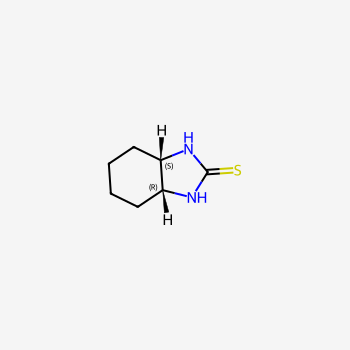 S=C1N[C@H]2CCCC[C@H]2N1